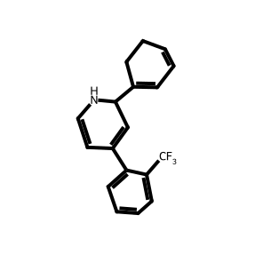 FC(F)(F)c1ccccc1C1=CC(C2=CC=CCC2)NC=C1